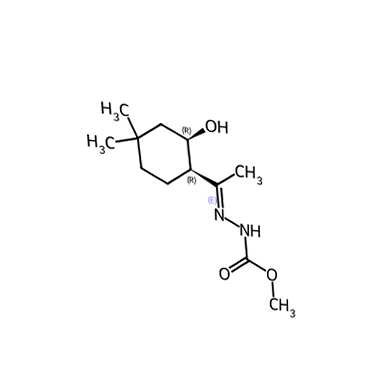 COC(=O)N/N=C(\C)[C@H]1CCC(C)(C)C[C@H]1O